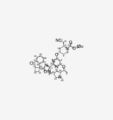 C[C@H](Oc1cc(O[C@H]2CCN(C(=O)OC(C)(C)C)[C@H](CC#N)C2)nc(-c2noc(C3(c4ccccc4Cl)CCC3)n2)n1)[C@@H]1C[C@@H](F)CN1C